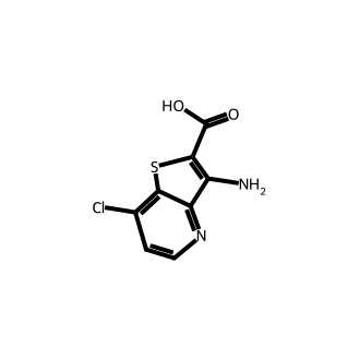 Nc1c(C(=O)O)sc2c(Cl)ccnc12